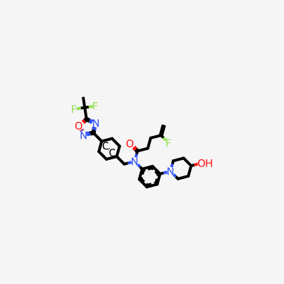 C=C(F)CCC(=O)N(CC12CCC(c3noc(C(C)(F)F)n3)(CC1)CC2)c1cccc(N2CCC(O)CC2)c1